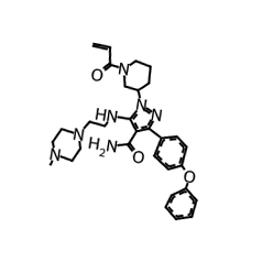 C=CC(=O)N1CCCC(n2nc(-c3ccc(Oc4ccccc4)cc3)c(C(N)=O)c2NCCN2CCN(C)CC2)C1